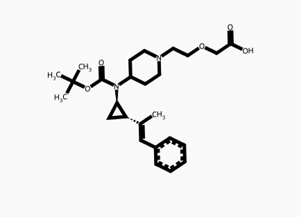 C/C(=C\c1ccccc1)[C@@H]1C[C@H]1N(C(=O)OC(C)(C)C)C1CCN(CCOCC(=O)O)CC1